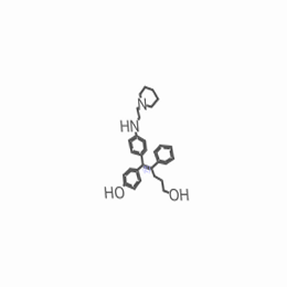 OCCC/C(=C(\c1ccc(O)cc1)c1ccc(NCCN2CCCCC2)cc1)c1ccccc1